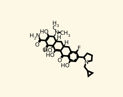 CN(C)[C@@H]1C(O)=C(C(N)=O)C(=O)[C@@]2(O)C(O)=C3C(=O)c4c(O)cc(C5CCCN5CC5CC5)c(F)c4C[C@H]3C[C@@H]12